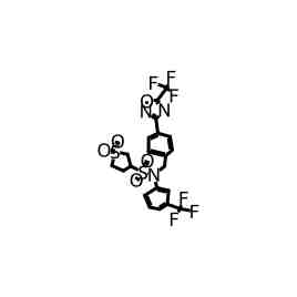 O=S1(=O)CCC(S(=O)(=O)N(Cc2ccc(-c3noc(C(F)(F)F)n3)cc2)c2cccc(C(F)(F)F)c2)C1